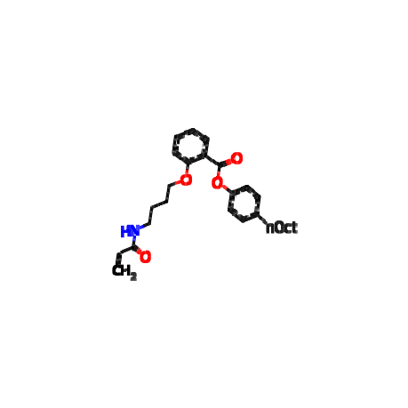 C=CC(=O)NCCCCOc1ccccc1C(=O)Oc1ccc(CCCCCCCC)cc1